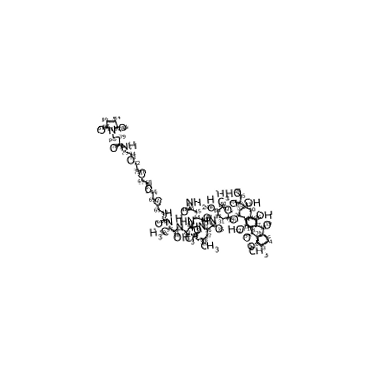 COc1cccc2c1C(=O)c1c(O)c3c(c(O)c1C2=O)C[C@@](O)(C(=O)CO)C[C@@H]3O[C@H]1C[C@H](NC(=O)C(CC(C)C)NC(=O)[C@@H](CC(N)=O)NC(=O)[C@@H](C)NC(=O)[C@@H](C)NC(=O)CCOCCOCCOCCOCCNC(=O)CCN2C(=O)C=CC2=O)[C@H](O)[C@H](C)O1